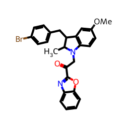 COc1ccc2c(c1)C(Cc1ccc(Br)cc1)C(C)N2CC(=O)c1nc2ccccc2o1